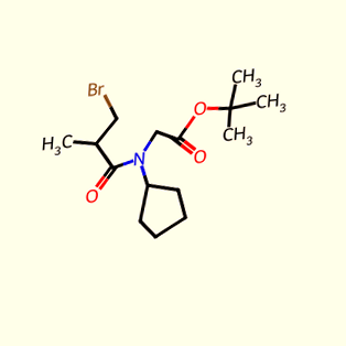 CC(CBr)C(=O)N(CC(=O)OC(C)(C)C)C1CCCC1